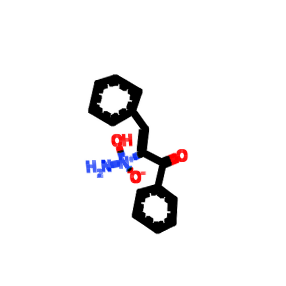 N[N+]([O-])(O)C(=Cc1ccccc1)C(=O)c1ccccc1